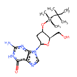 CC(C)(C)[Si](C)(C)OC1C[C@H](n2cnc3c(=O)[nH]c(N)nc32)O[C@@H]1CO